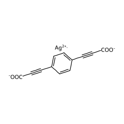 O=C([O-])C#Cc1ccc(C#CC(=O)[O-])cc1.[Ag+2]